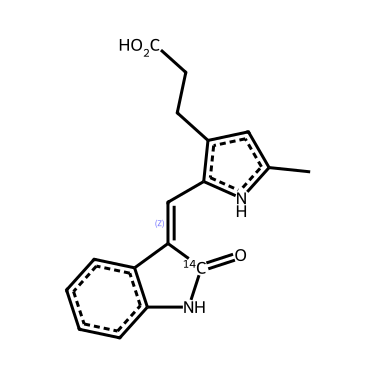 Cc1cc(CCC(=O)O)c(/C=C2/c3ccccc3N[14C]2=O)[nH]1